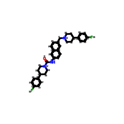 O=C(Nc1ccc2cc(CN3CCC(c4ccc(F)cc4)CC3)ccc2c1)N1CCC(c2ccc(F)cc2)CC1